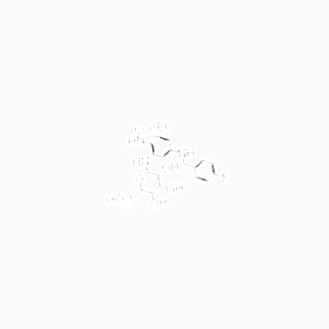 CCOC(=O)Nc1ccc(NCc2ccc(F)cc2)cc1NC1OC(C(=O)O)C(O)C(O)C1O